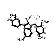 CCOC(=O)Oc1c(-c2ccc3nsnc3c2)c2cc(N)ccc2n1Cc1cc(OC)ccc1OC